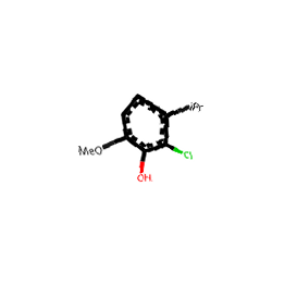 COc1ccc(C(C)C)c(Cl)c1O